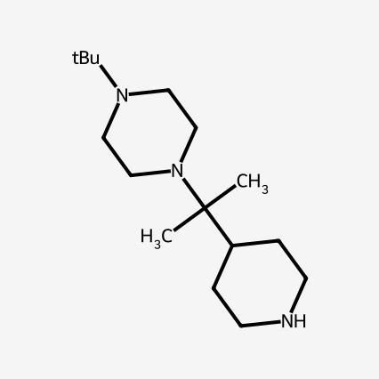 CC(C)(C)N1CCN(C(C)(C)C2CCNCC2)CC1